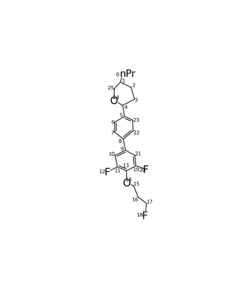 CCCC1CCC(c2ccc(-c3cc(F)c(OCCCF)c(F)c3)cc2)OC1